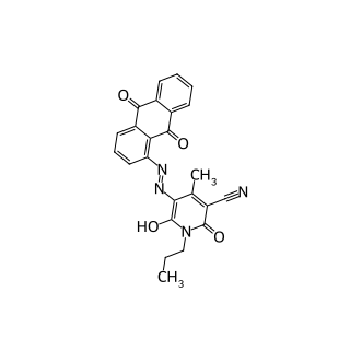 CCCn1c(O)c(/N=N/c2cccc3c2C(=O)c2ccccc2C3=O)c(C)c(C#N)c1=O